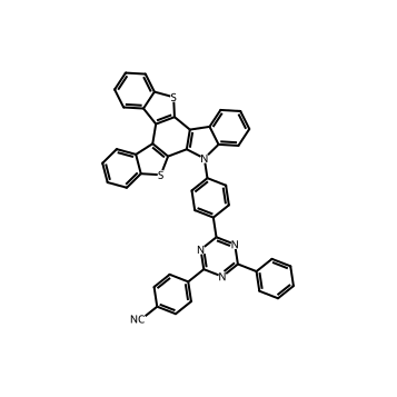 N#Cc1ccc(-c2nc(-c3ccccc3)nc(-c3ccc(-n4c5ccccc5c5c6sc7ccccc7c6c6c7ccccc7sc6c54)cc3)n2)cc1